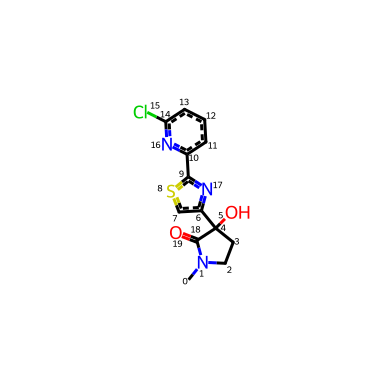 CN1CCC(O)(c2csc(-c3cccc(Cl)n3)n2)C1=O